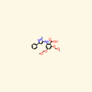 COCOc1cc(Nc2cc(-c3ccccc3)nn2C)c(C(=O)O)c(OCOC)c1